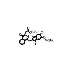 CC(C)(C)COc1cc2[nH]c(Cc3nn(CC(=O)OC(C)(C)C)c(=O)c4ccccc34)nc2cc1Cl